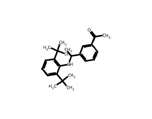 CC(=O)c1cccc(C(C)Nc2c(C(C)(C)C)cccc2C(C)(C)C)c1